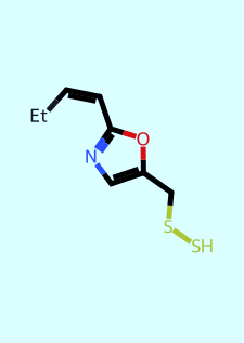 CC/C=C\c1ncc(CSS)o1